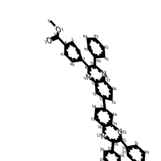 COC(=O)c1ccc(-c2nc3cc(-c4ccc5nc(-c6ccccc6)c(-c6ccccc6)nc5c4)ccc3nc2-c2ccccc2)cc1